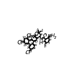 CC1(C)C[C@@H](NC(=O)c2cc(F)ccc2N)c2cc(-c3ccc(Cl)cc3)c(-c3ccc(Cl)cc3Cl)nc2O1